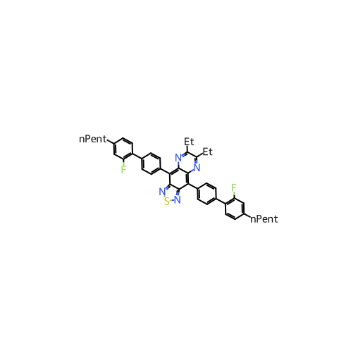 CCCCCc1ccc(-c2ccc(-c3c4nsnc4c(-c4ccc(-c5ccc(CCCCC)cc5F)cc4)c4nc(CC)c(CC)nc34)cc2)c(F)c1